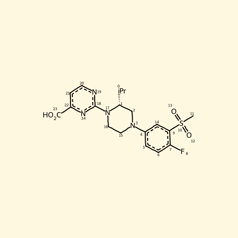 CC(C)[C@@H]1CN(c2ccc(F)c(S(C)(=O)=O)c2)CCN1c1nccc(C(=O)O)n1